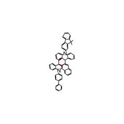 CC1(C)c2ccccc2-c2ccc(N(c3ccccc3)c3ccccc3C3C=CC(c4ccccc4N(c4ccc(-c5ccccc5)cc4)c4cccc5ccccc45)=CC3)cc21